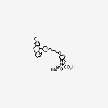 CC(C)(C)OC(=O)N[C@@H](Cc1ccc(OCCCCN2CCC(=C3c4ccc(Cl)cc4CCc4cccnc43)CC2)cc1)C(=O)O